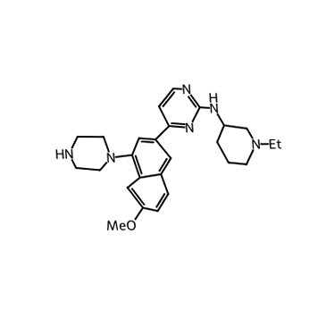 CCN1CCCC(Nc2nccc(-c3cc(N4CCNCC4)c4cc(OC)ccc4c3)n2)C1